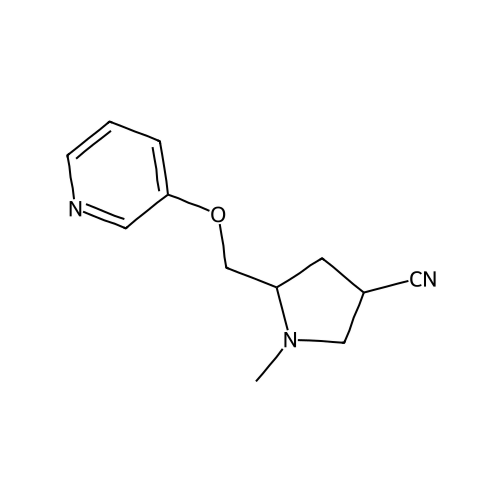 CN1CC(C#N)CC1COc1cccnc1